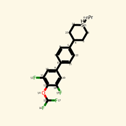 CCC[SiH]1CCC(c2ccc(-c3cc(F)c(OC(F)F)c(F)c3)cc2)CC1